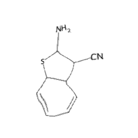 N#CC1C(N)SC2C=CC=CC21